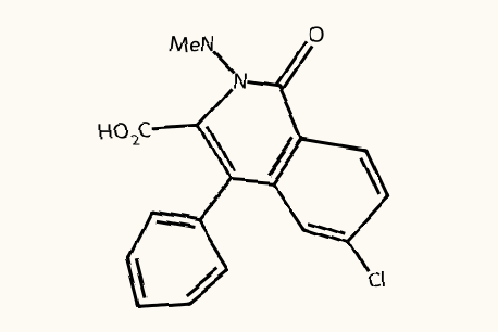 CNn1c(C(=O)O)c(-c2ccccc2)c2cc(Cl)ccc2c1=O